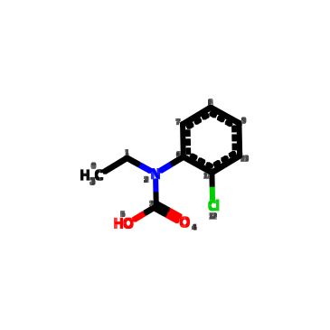 CCN(C(=O)O)c1ccccc1Cl